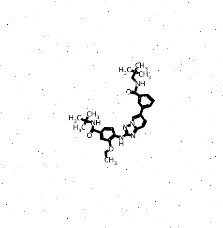 CCOc1cc(C(=O)NC(C)(C)C)ccc1Nc1nc2ccc(-c3cccc(C(=O)NCC(C)(C)C)c3)cn2n1